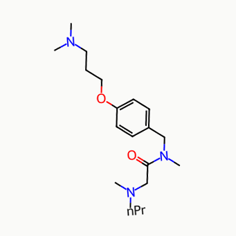 CCCN(C)CC(=O)N(C)Cc1ccc(OCCCN(C)C)cc1